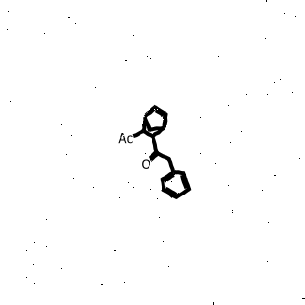 CC(=O)C1C2C=CC(C2)C1C(=O)Cc1ccccc1